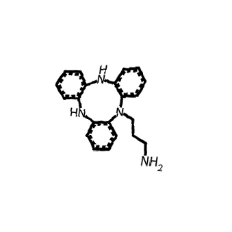 NCCCN1c2ccccc2Nc2ccccc2Nc2ccccc21